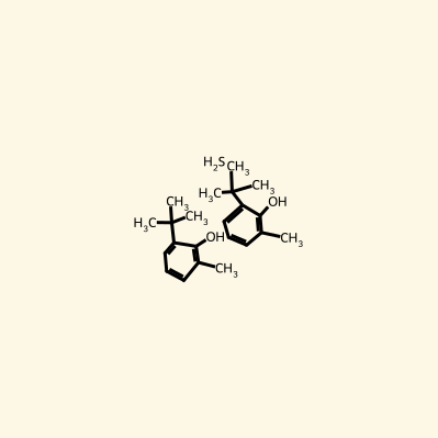 Cc1cccc(C(C)(C)C)c1O.Cc1cccc(C(C)(C)C)c1O.S